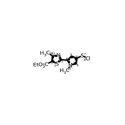 CCOC(=O)c1sc(-c2cc(SCl)cn2C)nc1C